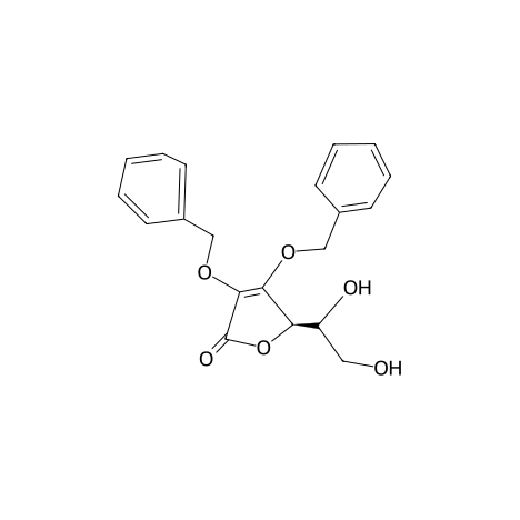 O=C1O[C@H](C(O)CO)C(OCc2ccccc2)=C1OCc1ccccc1